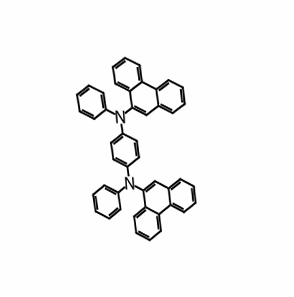 c1ccc(N(c2ccc(N(c3ccccc3)c3cc4ccccc4c4ccccc34)cc2)c2cc3ccccc3c3ccccc23)cc1